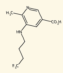 Cc1ncc(C(=O)O)cc1NCCCC(F)(F)F